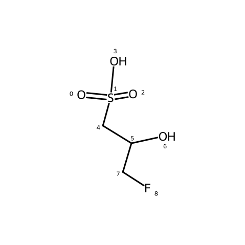 O=S(=O)(O)CC(O)CF